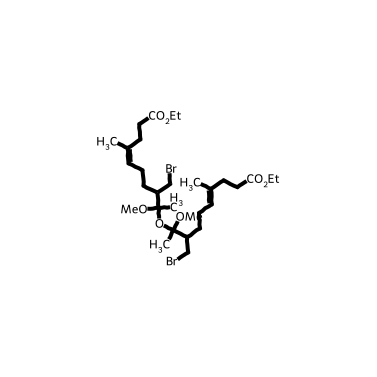 CCOC(=O)CCC(C)=CCCC(CBr)C(C)(OC)OC(C)(OC)C(CBr)CCC=C(C)CCC(=O)OCC